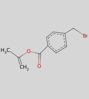 C=C(C)OC(=O)c1ccc(CBr)cc1